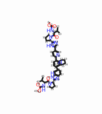 COC(=O)N[C@H](C(=O)N1CCC[C@H]1c1ncc(-c2ccc(-c3ccc(-c4ccc5nc([C@@H]6CCCN6C(=O)[C@@H](NC(=O)OC)C(C)C)[nH]c5c4)c4c3C3CCC4N3C)nc2)[nH]1)C(C)C